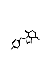 C=C1CCC(=O)c2nnn(Cc3ccc(F)cc3)c21